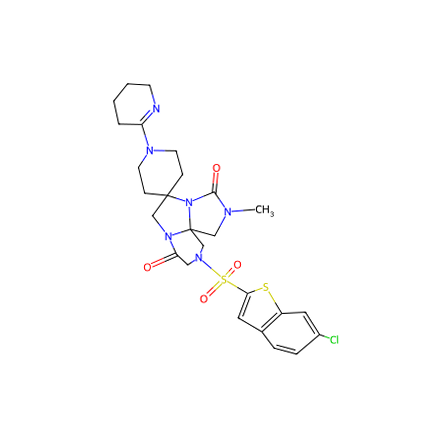 CN1CC23CN(S(=O)(=O)c4cc5ccc(Cl)cc5s4)CC(=O)N2CC2(CCN(C4=NCCCC4)CC2)N3C1=O